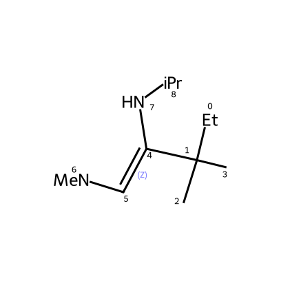 CCC(C)(C)/C(=C/NC)NC(C)C